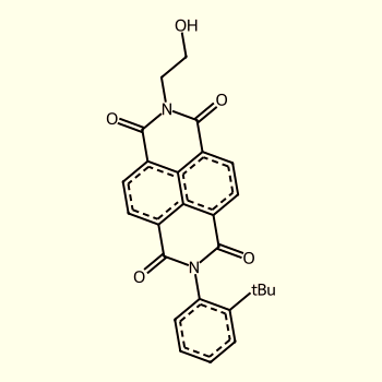 CC(C)(C)c1ccccc1N1C(=O)c2ccc3c4c(ccc(c24)C1=O)C(=O)N(CCO)C3=O